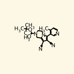 Cc1ccncc1-c1c(C#N)c(C#N)c2n1CCN(C(=O)OC(C)(C)C)C2